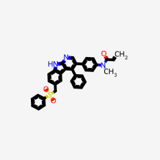 C=CC(=O)N(C)c1ccc(-c2cnc3[nH]c4ccc(CS(=O)(=O)c5ccccc5)cc4c3c2-c2ccccc2)cc1